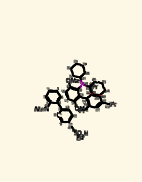 CNc1ccccc1-c1[c-]cccc1.COc1ccc(OC)c(P(C2CCCCC2)C2CCCCC2)c1-c1c(C(C)C)cc(C(C)C)cc1C(C)C.CS(=O)(=O)O.[Pd]